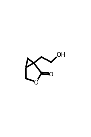 O=C1OCC2CC12CCO